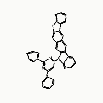 c1ccc(-c2cc(-n3c4ccccc4c4cc5cc6c(cc5cc43)sc3ccccc36)nc(-c3ccccc3)n2)cc1